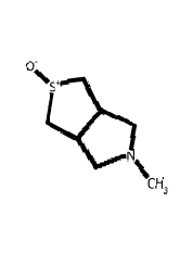 CN1CC2C[S+]([O-])CC2C1